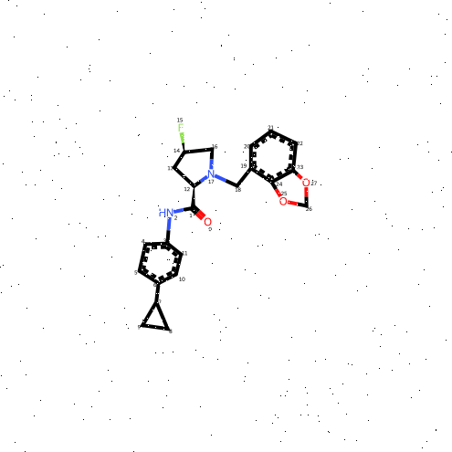 O=C(Nc1ccc(C2CC2)cc1)[C@H]1C[C@@H](F)CN1Cc1cccc2c1OCO2